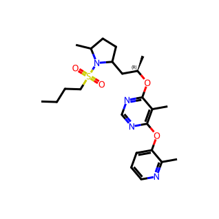 CCCCS(=O)(=O)N1C(C)CCC1C[C@@H](C)Oc1ncnc(Oc2cccnc2C)c1C